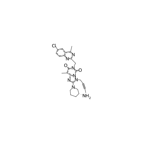 CC#CCn1c(N2CCC[C@@H](N)C2)nc2c(C)c(=O)n(Cc3nc(C)c4cc(Cl)ccc4n3)c(=O)n21